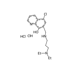 CCN(CC)CCCNCc1cc(Cl)c2cccnc2c1O.Cl.Cl